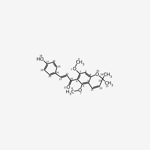 COc1cc2c(c(OC)c1C(=O)/C=C/c1ccc(O)cc1)C=CC(C)(C)O2